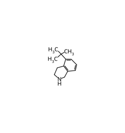 CC(C)(C)c1cccc2c1CCNC2